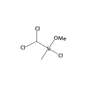 CO[Si](C)(Cl)C(Cl)Cl